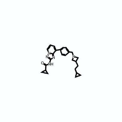 O=C(Nc1nc2c(-c3ccc(CN4CC(CCC5CC5)C4)cc3)cccn2n1)C1CC1